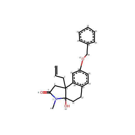 C=CCC12CC(=O)N(C)C1(O)CCc1ccc(OCc3ccccc3)cc12